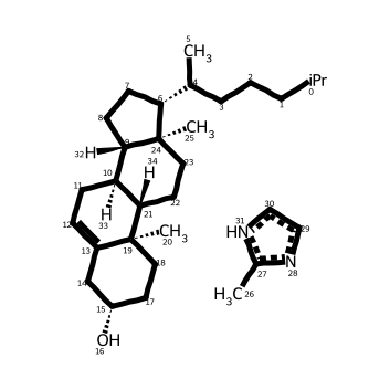 CC(C)CCCC(C)[C@H]1CC[C@H]2[C@@H]3CC=C4C[C@@H](O)CC[C@]4(C)[C@H]3CC[C@]12C.Cc1ncc[nH]1